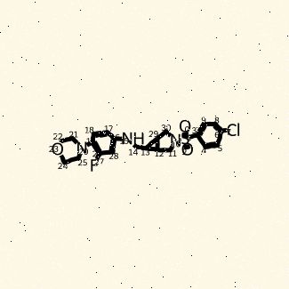 O=S(=O)(c1ccc(Cl)cc1)N1CC2C(CNc3ccc(N4CCOCC4)c(F)c3)C2C1